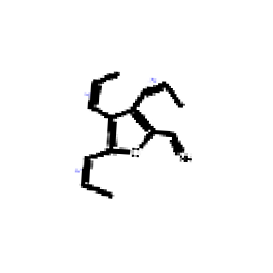 C/C=C\c1oc(C=N)c(/C=C\C)c1/C=C\C